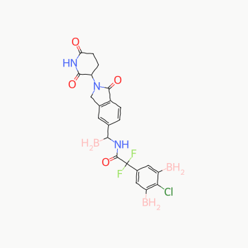 Bc1cc(C(F)(F)C(=O)NC(B)c2ccc3c(c2)CN(C2CCC(=O)NC2=O)C3=O)cc(B)c1Cl